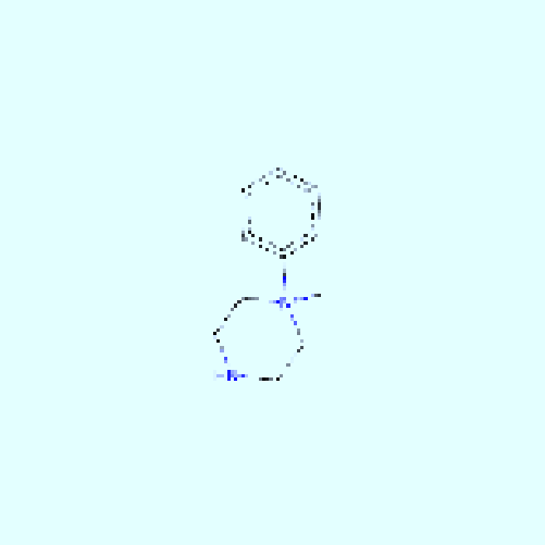 C[N+]1(c2cc[c]cc2)CCNCC1